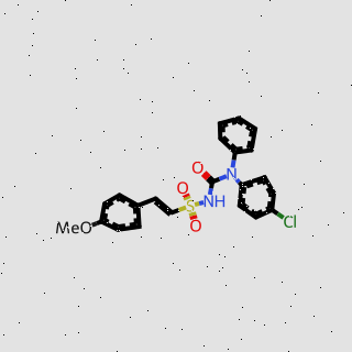 COc1ccc(C=CS(=O)(=O)NC(=O)N(c2ccccc2)c2ccc(Cl)cc2)cc1